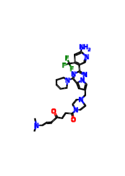 CN(C)C/C=C/C(=O)CCC(=O)N1CCN(Cc2cc3c(N4CCCCC4)nc(-c4cnc(N)cc4C(F)(F)F)nn3c2)CC1